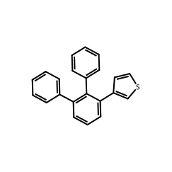 c1ccc(-c2cccc(-c3ccsc3)c2-c2ccccc2)cc1